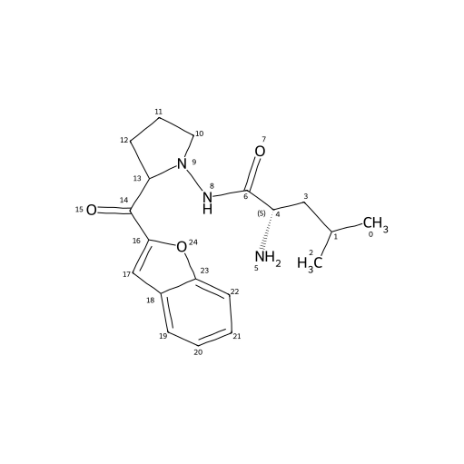 CC(C)C[C@H](N)C(=O)NN1CCCC1C(=O)c1cc2ccccc2o1